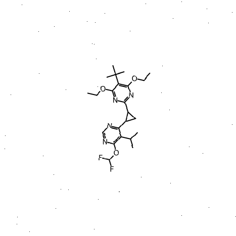 CCOc1nc(C2CC2c2ncnc(OC(F)F)c2C(C)C)nc(OCC)c1C(C)(C)C